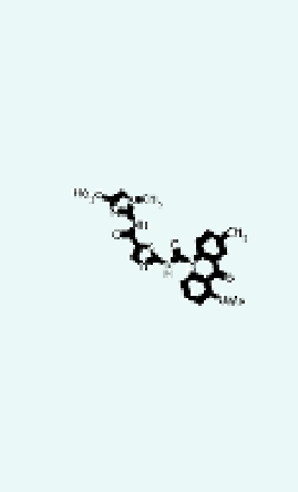 COc1ccccc1C(=O)c1cc(C)ccc1NC(=O)Nc1ncc(C(=O)Nc2nc(C(=O)O)cn2C)s1